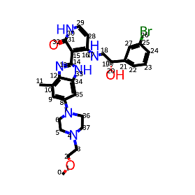 COCCN1CCN(c2cc(C)c3nc(-c4c(NC[C@@H](O)c5cccc(Br)c5)cc[nH]c4=O)[nH]c3c2)CC1